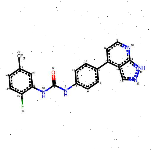 O=C(Nc1ccc(-c2ccnc3[nH]ncc23)cc1)Nc1cc(C(F)(F)F)ccc1F